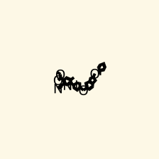 COC(=O)c1cc(C)c(N2CCC(Oc3ccc4c(c3)CC(OCc3ccccc3)C4)CC2)nc1C#N